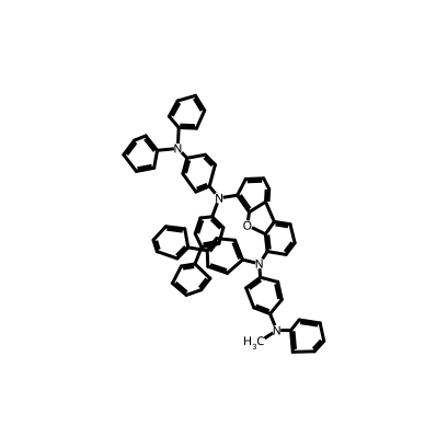 CN(c1ccccc1)c1ccc(N(c2ccc(-c3ccccc3)cc2)c2cccc3c2oc2c(N(c4ccc(-c5ccccc5)cc4)c4ccc(N(c5ccccc5)c5ccccc5)cc4)cccc23)cc1